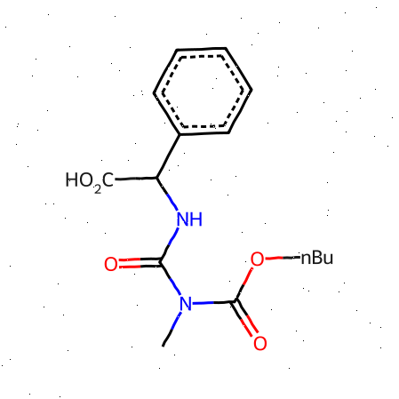 CCCCOC(=O)N(C)C(=O)NC(C(=O)O)c1ccccc1